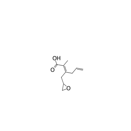 C=CC/C(CC1CO1)=C(\C)C(=O)O